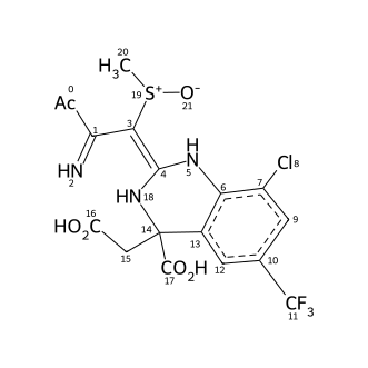 CC(=O)C(=N)/C(=C1/Nc2c(Cl)cc(C(F)(F)F)cc2C(CC(=O)O)(C(=O)O)N1)[S+](C)[O-]